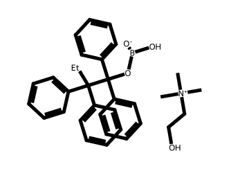 CCC(c1ccccc1)(c1ccccc1)C(OB([O-])O)(c1ccccc1)c1ccccc1.C[N+](C)(C)CCO